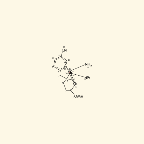 COC1CCC2(CC1)Cc1ccc(C#N)cc1C21N=C(N)N(C(C)C)C1=O